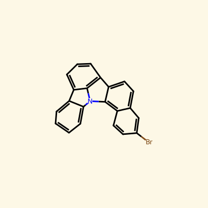 Brc1ccc2c(ccc3c4cccc5c6ccccc6n(c23)c54)c1